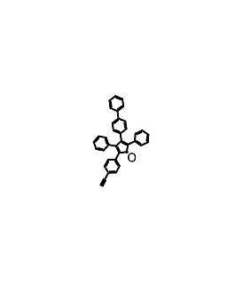 C#Cc1ccc(C2=C(c3ccccc3)C(c3ccc(-c4ccccc4)cc3)=C(c3ccccc3)C2=O)cc1